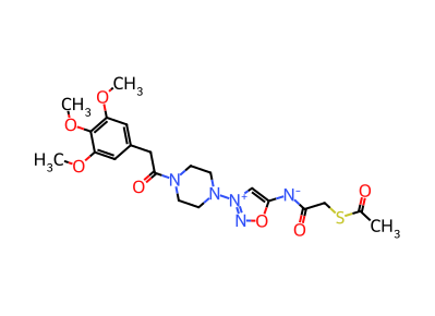 COc1cc(CC(=O)N2CCN([n+]3cc([N-]C(=O)CSC(C)=O)on3)CC2)cc(OC)c1OC